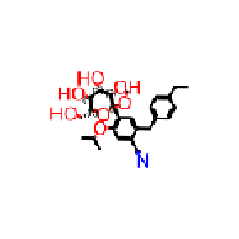 CCc1ccc(Cc2cc([C@]3(OC)O[C@H](CO)[C@@H](O)[C@H](O)[C@H]3O)c(OC(C)C)cc2C#N)cc1